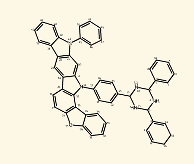 C1=CC(C2NC(c3ccccc3)NC(c3ccc(-n4c5cc6c(cc5c5ccc7oc8ccccc8c7c54)c4ccccc4n6-c4ccccc4)cc3)N2)=CCC1